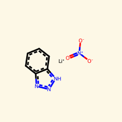 O=[N+]([O-])[O-].[Li+].c1ccc2[nH]nnc2c1